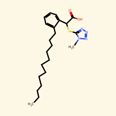 CCCCCCCCCCCCc1ccccc1C(Sc1nnnn1C)C(=O)O